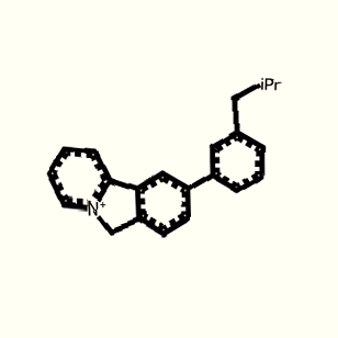 CC(C)Cc1cccc(-c2ccc3c(c2)-c2cccc[n+]2C3)c1